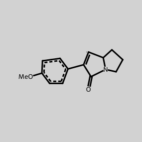 COc1ccc(C2=[C]C3CCCN3C2=O)cc1